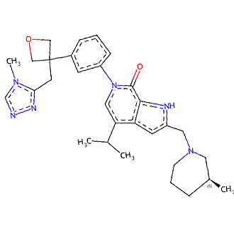 CC(C)c1cn(-c2cccc(C3(Cc4nncn4C)COC3)c2)c(=O)c2[nH]c(CN3CCC[C@H](C)C3)cc12